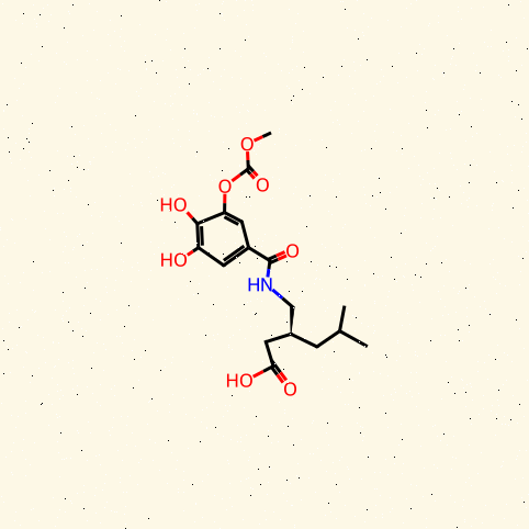 COC(=O)Oc1cc(C(=O)NC[C@H](CC(=O)O)CC(C)C)cc(O)c1O